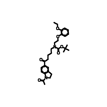 CCOc1ccccc1OCCN(CCCCC(=O)c1ccc2c(c1)CCN2C(C)=O)C(=O)OC(C)(C)C